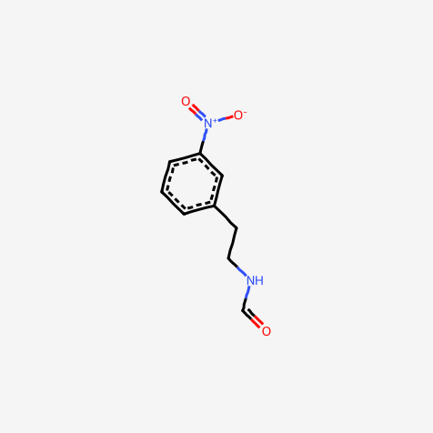 O=CNCCc1cccc([N+](=O)[O-])c1